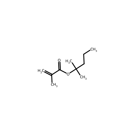 C=C(C)C(=O)OC(C)(C)CCC